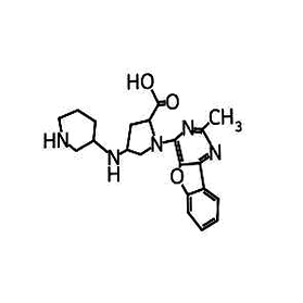 Cc1nc(N2CC(NC3CCCNC3)CC2C(=O)O)c2oc3ccccc3c2n1